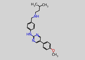 COc1ccc(-c2cnc(Nc3ccc(CNCCC(C)C)cc3)nc2)cc1